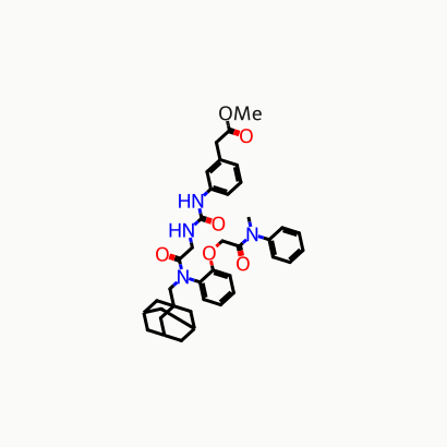 COC(=O)Cc1cccc(NC(=O)NCC(=O)N(CC23CC4CC(CC(C4)C2)C3)c2ccccc2OCC(=O)N(C)c2ccccc2)c1